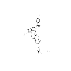 CC(C)C1=C2C3CCC4C(C)(CCC5C(C)(C)C(OC(=O)CC(C)(C)C(=O)O)CCC54C)C3CCC2(C(=O)C(=O)NC2(c3ccc(Cl)cc3)CC2)CC1=O